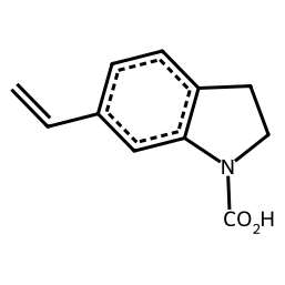 C=Cc1ccc2c(c1)N(C(=O)O)CC2